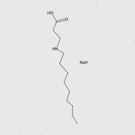 CCCCCCCCCNCCC(=O)O.[NaH]